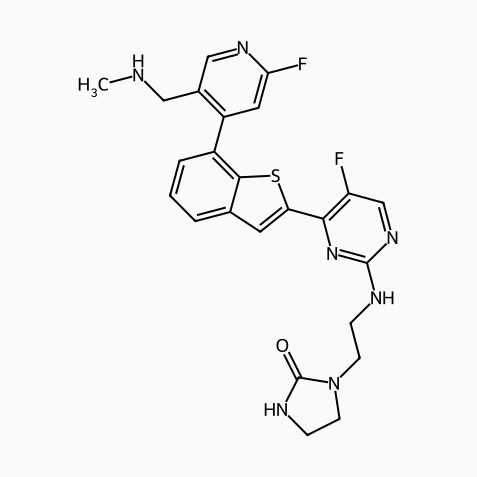 CNCc1cnc(F)cc1-c1cccc2cc(-c3nc(NCCN4CCNC4=O)ncc3F)sc12